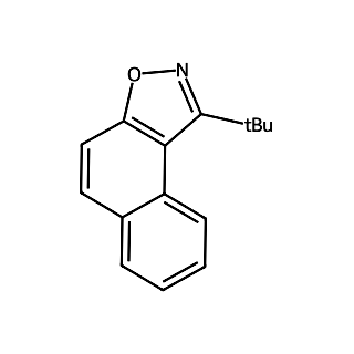 CC(C)(C)c1noc2ccc3ccccc3c12